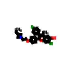 CCC1CN(CCOc2ccc([C@H]3Oc4cc(Cl)c(O)cc4C(C)=C3c3ccc(F)cc3)cc2)C1